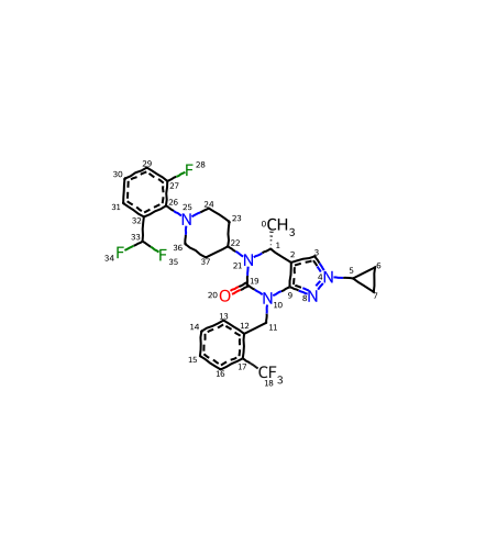 C[C@@H]1c2cn(C3CC3)nc2N(Cc2ccccc2C(F)(F)F)C(=O)N1C1CCN(c2c(F)cccc2C(F)F)CC1